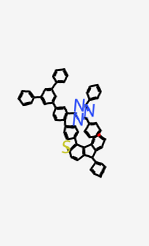 c1ccc(-c2cc(-c3ccccc3)cc(-c3ccc(-c4ccc5c(c4)sc4ccc6c(c45)-c4ccccc4C6c4ccccc4)c(-c4nc(-c5ccccc5)nc(-c5ccccc5)n4)c3)c2)cc1